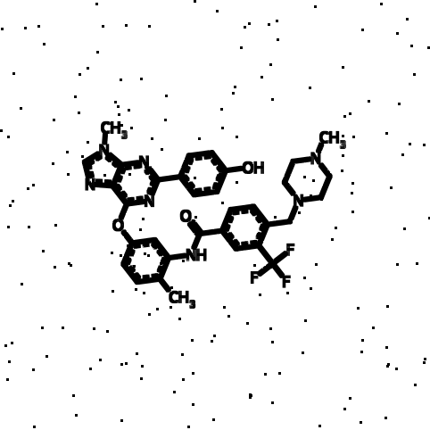 Cc1ccc(Oc2nc(-c3ccc(O)cc3)nc3c2ncn3C)cc1NC(=O)c1ccc(CN2CCN(C)CC2)c(C(F)(F)F)c1